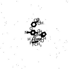 COc1cc(C#N)c(OC2CCC(C)(C(=O)O)CC2)cc1C(=O)N[C@@H]1[C@@H]2CC[C@@H](C2)[C@@H]1C(=O)NCC(C)(C)C(F)(F)F